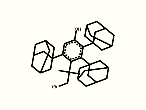 CC(C)(C)CC(C)(C)c1c(C23CC4CC(CC(C4)C2)C3)cc(O)c(C23CC4CC(CC(C4)C2)C3)c1C12CC3CC(CC(C3)C1)C2